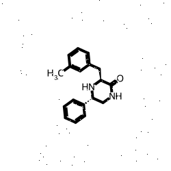 Cc1cccc(C[C@@H]2N[C@@H](c3ccccc3)CNC2=O)c1